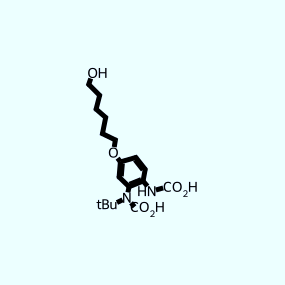 CC(C)(C)N(C(=O)O)c1cc(OCCCCCCO)ccc1NC(=O)O